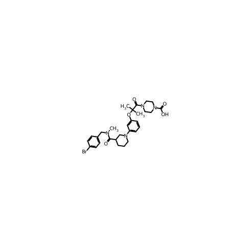 CN(Cc1ccc(Br)cc1)C(=O)C1CCCN(c2cccc(OC(C)(C)C(=O)N3CCN(C(=O)O)CC3)c2)C1